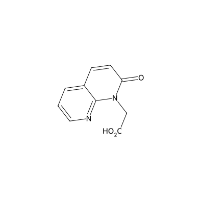 O=C(O)Cn1c(=O)ccc2cccnc21